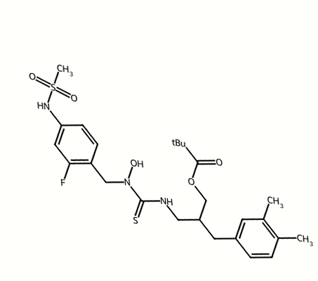 Cc1ccc(CC(CNC(=S)N(O)Cc2ccc(NS(C)(=O)=O)cc2F)COC(=O)C(C)(C)C)cc1C